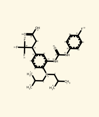 CC(C)CN(CC(C)C)c1ccc(C(CC(=O)O)C(F)(F)F)cc1NC(=O)Nc1ccc(F)cc1